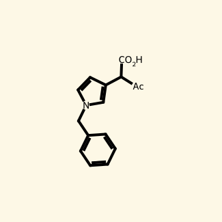 CC(=O)C(C(=O)O)c1ccn(Cc2ccccc2)c1